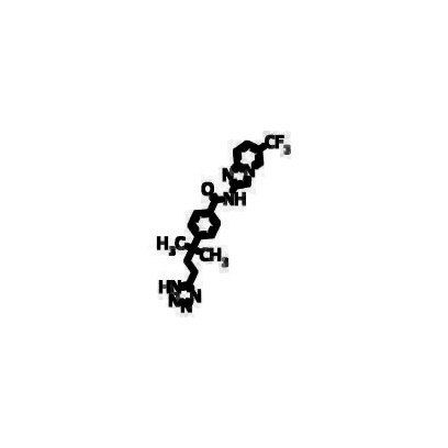 CC(C)(CCc1nnn[nH]1)c1ccc(C(=O)Nc2cn3cc(C(F)(F)F)ccc3n2)cc1